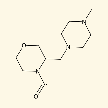 CN1CCN(CC2COCCN2[C]=O)CC1